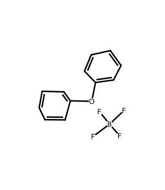 F[B-](F)(F)F.c1ccc(Oc2ccccc2)cc1